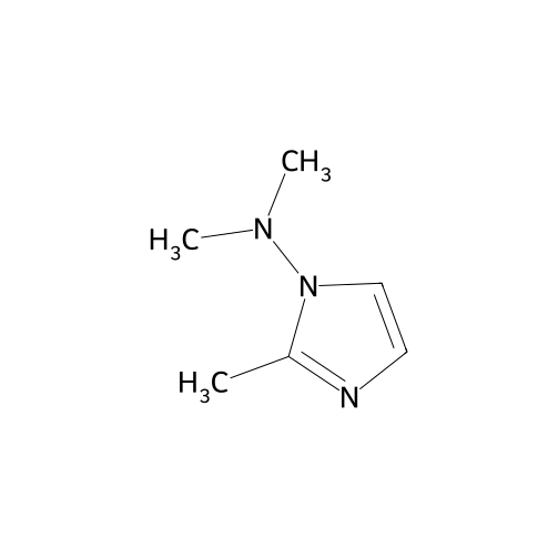 Cc1nccn1N(C)C